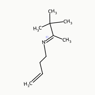 C=CCC/N=C(\C)C(C)(C)C